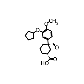 COc1ccc([C@]2(C=O)CCC[C@@H](C(=O)O)C2)cc1OC1CCCC1